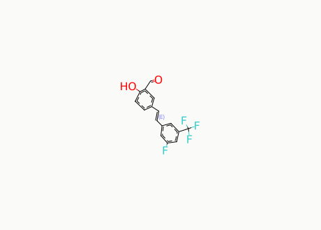 O=Cc1cc(/C=C/c2cc(F)cc(C(F)(F)F)c2)ccc1O